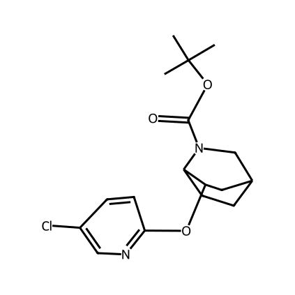 CC(C)(C)OC(=O)N1CC2CCC1C(Oc1ccc(Cl)cn1)C2